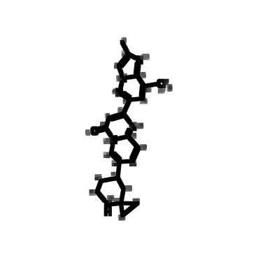 Cc1cn2nc(-c3cc(=O)n4cc(C5CCNC6(CC6)C5)ccc4n3)cc(C(F)(F)F)c2n1